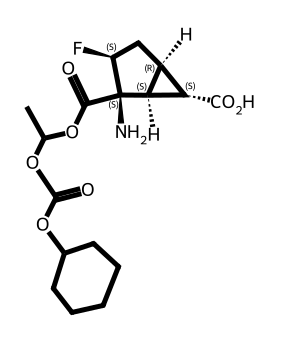 CC(OC(=O)OC1CCCCC1)OC(=O)[C@@]1(N)[C@H]2[C@@H](C[C@@H]1F)[C@@H]2C(=O)O